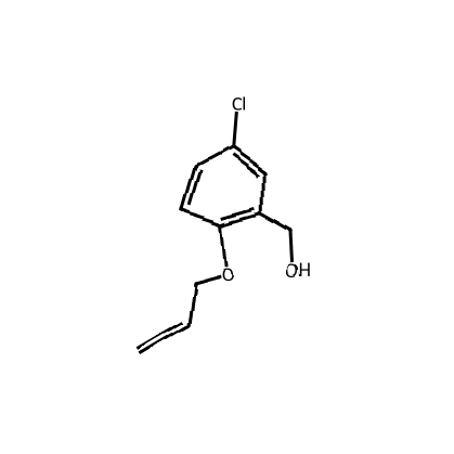 C=CCOc1ccc(Cl)cc1CO